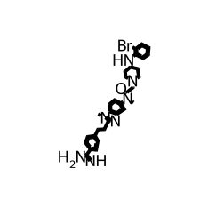 CN(C(=O)CN1CCC(Nc2ccccc2Br)CC1)c1ccc2c(c1)nc(CCc1ccc(C(=N)N)cc1)n2C